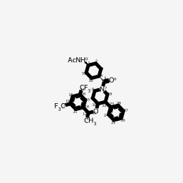 CC(=O)N[C@H]1CC[C@H](C(=O)N2CCC(OC(C)c3cc(C(F)(F)F)cc(C(F)(F)F)c3)C(c3ccccc3)C2)CC1